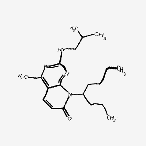 [CH2]CCC(CCCC)n1c(=O)ccc2c(C)nc(NCC(C)C)nc21